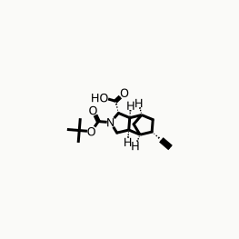 C#C[C@H]1C[C@H]2C[C@@H]1[C@H]1CN(C(=O)OC(C)(C)C)[C@H](C(=O)O)[C@@H]21